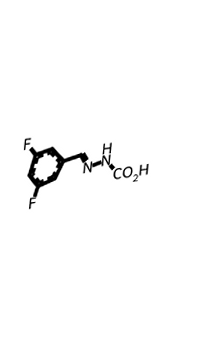 O=C(O)N/N=C/c1cc(F)cc(F)c1